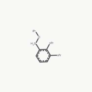 CCCc1cccc([SiH2]OC(C)C)c1CCC